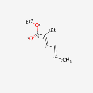 C/C=C/C=C(\CC)C(=O)OCC